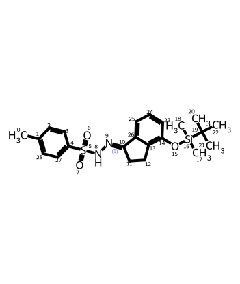 Cc1ccc(S(=O)(=O)N/N=C2\CCc3c(O[Si](C)(C)C(C)(C)C)cccc32)cc1